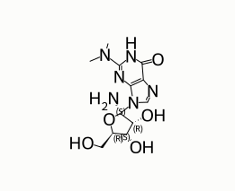 CN(C)c1nc2c(ncn2[C@]2(N)O[C@H](CO)[C@@H](O)[C@H]2O)c(=O)[nH]1